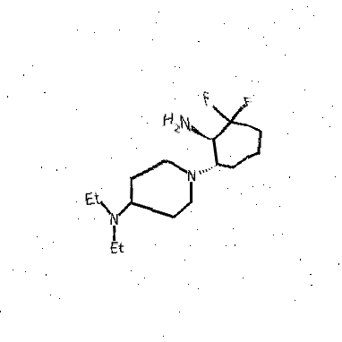 CCN(CC)C1CCN([C@H]2CCCC(F)(F)[C@@H]2N)CC1